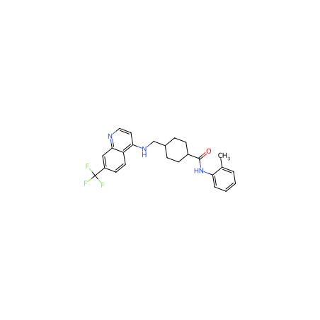 Cc1ccccc1NC(=O)C1CCC(CNc2ccnc3cc(C(F)(F)F)ccc23)CC1